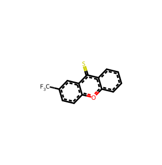 FC(F)(F)c1ccc2oc3ccccc3c(=S)c2c1